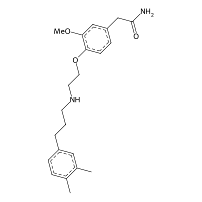 COc1cc(CC(N)=O)ccc1OCCNCCCc1ccc(C)c(C)c1